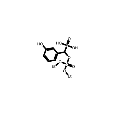 CCOP(=O)(OCC)OC(c1cccc(O)c1)P(=O)(O)O